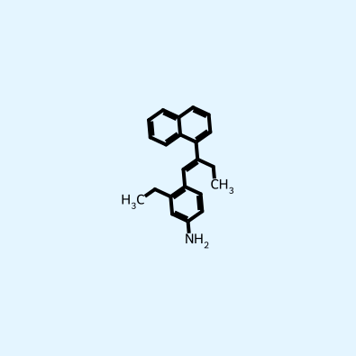 CCC(=Cc1ccc(N)cc1CC)c1cccc2ccccc12